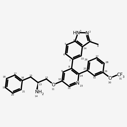 Cc1n[nH]c2ccc(-c3cc(OC[C@@H](N)Cc4ccccc4)cnc3-c3cccc(OC(F)(F)F)c3)cc12